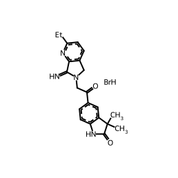 Br.CCc1ccc2c(n1)C(=N)N(CC(=O)c1ccc3c(c1)C(C)(C)C(=O)N3)C2